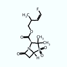 CC(/C=C\F)COC(=O)[C@@H]1N2C(=O)C[C@H]2S(=O)(=O)C1(C)C